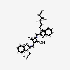 CCN1/C(=C/C2=C(O)C(=C\c3sc4ccccc4[n+]3CCNC(=O)CI)/C2=O)Sc2ccccc21